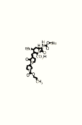 C=CCOC(=O)N1CC[C@@H](N2CCC(=CC3=C(C(=O)O)N4C(=O)[C@@H](NC(=O)OC(C)(C)C)[C@H]4CC3C(C)(C)C)C2=O)C1